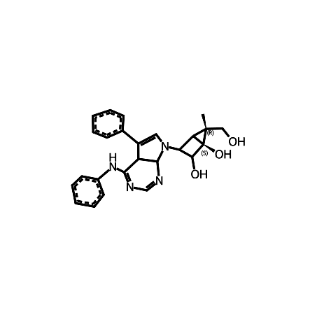 C[C@]1(CO)C2C(N3C=C(c4ccccc4)C4C(Nc5ccccc5)=NC=NC43)C(O)[C@]21O